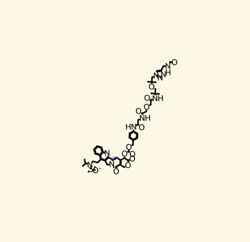 CC(C)N(CCc1c2c(nc3ccccc13)/C(=C/C1=C(C=O)COC(=O)C1OC(=O)OCc1ccc(NC(=O)CNC(=O)COCC(=O)NC(C)(C)COC(C)(C)Cn3cc(CNC=O)nn3)cc1)N(C)C2)[S+](C)[O-]